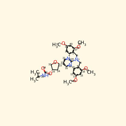 COc1ccc(CN(Cc2ccc(OC)cc2OC)c2ncc([C@@H]3C[C@H](OC(=O)NC(C)C)CO3)cn2)c(OC)c1